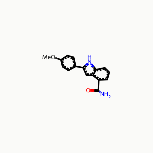 COc1ccc(-c2cc3c(C(N)=O)cccc3[nH]2)cc1